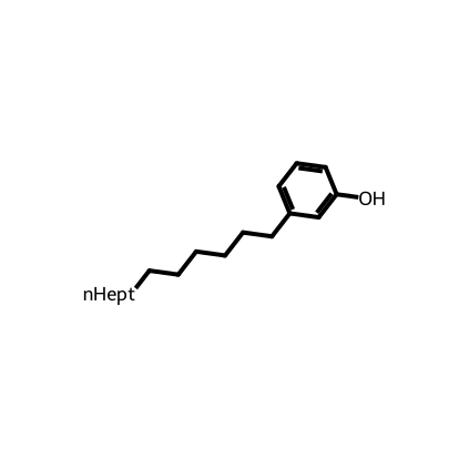 CCCCCCCCCCCCCc1cccc(O)c1